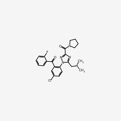 CN(C)Cc1nc(C(=O)N2CCCC2)nn1-c1ccc(Cl)cc1C(=O)c1ccccc1F